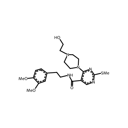 COc1ccc(CCNC(=O)c2cnc(SC)nc2N2CCN(CCO)CC2)cc1OC